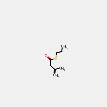 C=C(C)CC(=O)SCCC